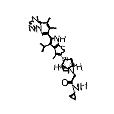 Cc1c(-c2[nH]c3sc([C@@H]4C[C@@H]5C[C@H]4CN5CC(=O)NC4CC4)c(C)c3c2C(C)C)cn2ncnc2c1C